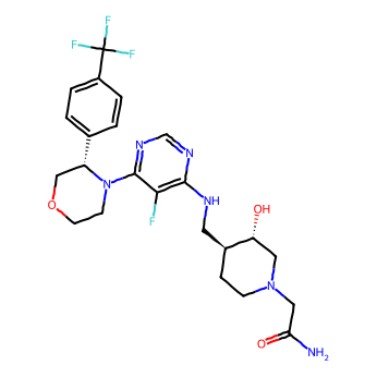 NC(=O)CN1CC[C@@H](CNc2ncnc(N3CCOC[C@@H]3c3ccc(C(F)(F)F)cc3)c2F)[C@H](O)C1